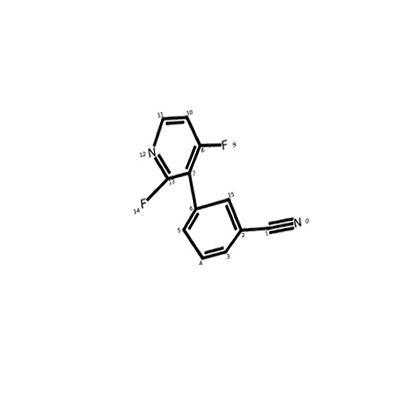 N#Cc1cccc(-c2c(F)ccnc2F)c1